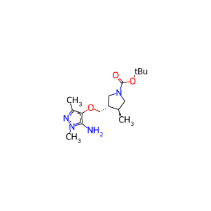 Cc1nn(C)c(N)c1OC[C@@H]1CN(C(=O)OC(C)(C)C)C[C@H]1C